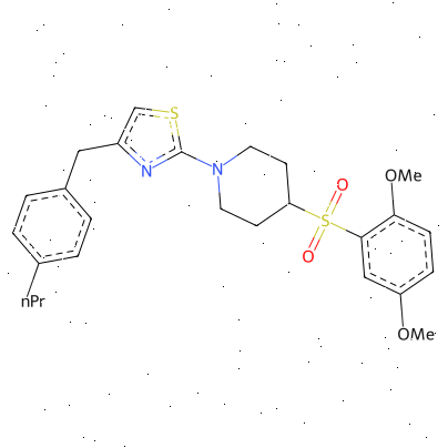 CCCc1ccc(Cc2csc(N3CCC(S(=O)(=O)c4cc(OC)ccc4OC)CC3)n2)cc1